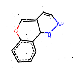 [C]1=CNNC2C1=COc1ccccc12